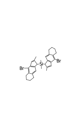 CC1=Cc2c(cc3c(c2Br)CCCC3)C1[Si](C)(C)C1C(C)=Cc2c1cc1c(c2Br)CCCC1